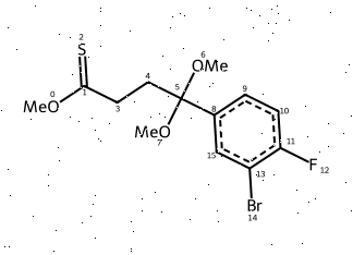 COC(=S)CCC(OC)(OC)c1ccc(F)c(Br)c1